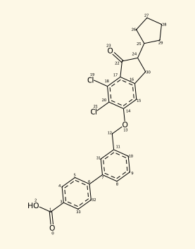 O=C(O)c1ccc(-c2cccc(COc3cc4c(c(Cl)c3Cl)C(=O)C(C3CCCC3)C4)c2)cc1